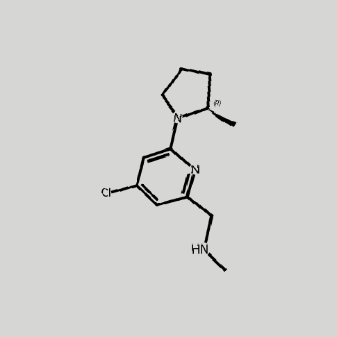 CNCc1cc(Cl)cc(N2CCC[C@H]2C)n1